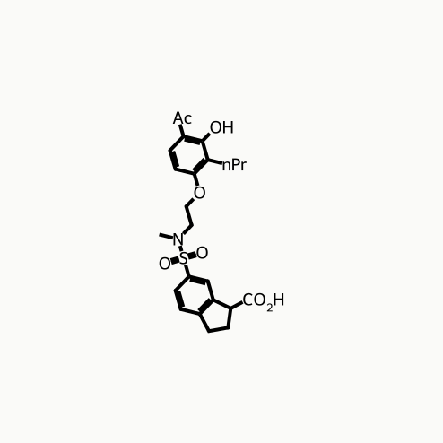 CCCc1c(OCCN(C)S(=O)(=O)c2ccc3c(c2)C(C(=O)O)CC3)ccc(C(C)=O)c1O